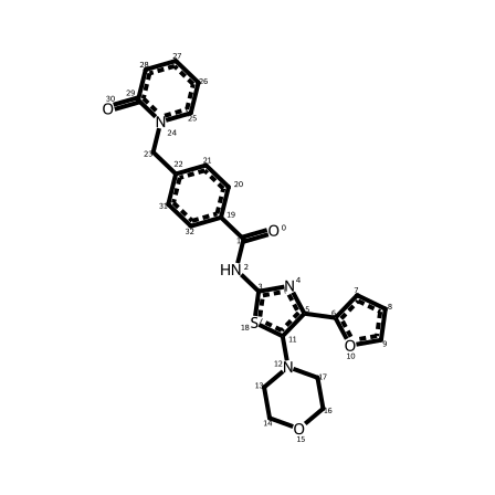 O=C(Nc1nc(-c2ccco2)c(N2CCOCC2)s1)c1ccc(Cn2ccccc2=O)cc1